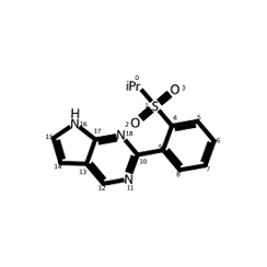 CC(C)S(=O)(=O)c1ccccc1-c1ncc2cc[nH]c2n1